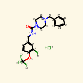 Cl.O=C(NCc1ccc(OC(F)(F)F)c(F)c1)N1CCN(Cc2ccccc2)CC1